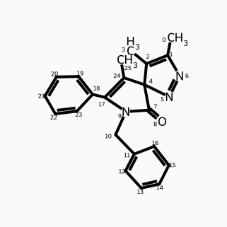 CC1=C(C)C2(N=N1)C(=O)N(Cc1ccccc1)C(c1ccccc1)=C2C